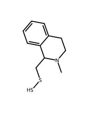 CN1CCc2ccccc2C1CSS